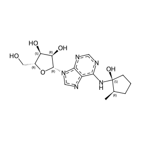 C[C@@H]1CCC[C@@]1(O)Nc1ncnc2c1ncn2[C@@H]1O[C@H](CO)[C@@H](O)[C@H]1O